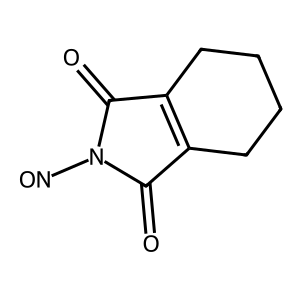 O=NN1C(=O)C2=C(CCCC2)C1=O